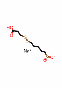 O=C(O)CCSSCCCCCS(=O)[O-].[Na+]